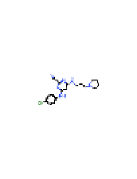 N#Cc1nc(NCCCN2CCCC2)cc(Nc2ccc(Cl)cc2)n1